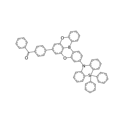 O=C(c1ccccc1)c1ccc(-c2cc3c4c(c2)Oc2cc(N5c6ccccc6[Si](c6ccccc6)(c6ccccc6)c6ccccc65)ccc2B4c2ccccc2O3)cc1